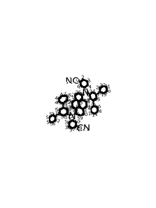 N#Cc1cccc(N(c2cc(-c3ccccc3)cc(-c3ccccc3)c2)c2ccc3ccc4c(N(c5cccc(C#N)c5)c5cc(-c6ccccc6)cc(-c6ccccc6)c5)ccc5ccc2c3c54)c1